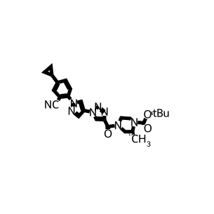 C[C@H]1CN(C(=O)c2cn(-c3cnn(-c4ccc(C5CC5)cc4C#N)c3)nn2)CCN1C(=O)OC(C)(C)C